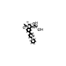 CC(=O)N1c2ccc(-c3ccc(N4CCCCC4)nc3)cc2[C@@H](NC(=O)O)C[C@H]1C.Cl